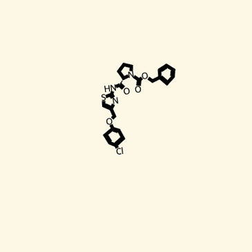 O=C(Nc1nc(COc2ccc(Cl)cc2)cs1)[C@@H]1CCCN1C(=O)OCc1ccccc1